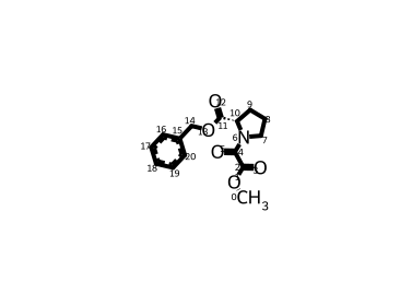 COC(=O)C(=O)N1CCC[C@H]1C(=O)OCc1ccccc1